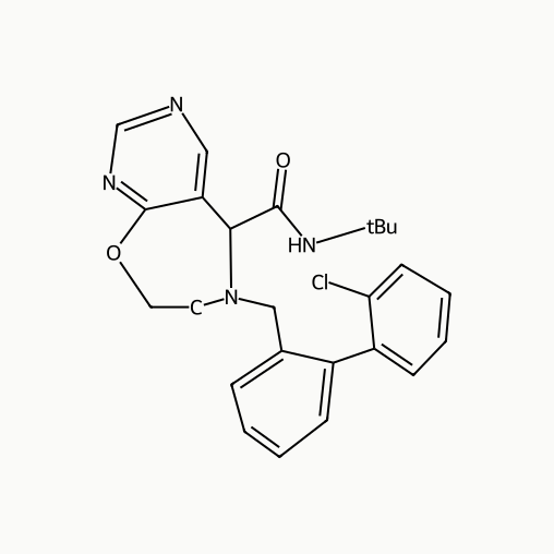 CC(C)(C)NC(=O)C1c2cncnc2OCCN1Cc1ccccc1-c1ccccc1Cl